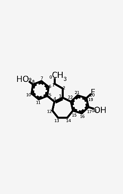 CCCC1=C(c2ccc(O)cc2)CCCc2cc(O)c(F)cc21